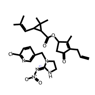 C=CCC1=C(C)C(OC(=O)C2C(C=C(C)C)C2(C)C)CC1=O.O=[N+]([O-])/N=C1\NCCN1Cc1ccc(Cl)nc1